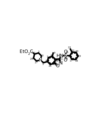 CCOC(=O)C1CCN(Cc2cc(C)c3c(NS(=O)(=O)c4ccccc4C)noc3c2)CC1